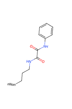 CCCCCCCCCCCCNC(=O)C(=O)Nc1ccccc1